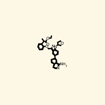 CCOC(=O)C(C)c1ccccc1OCc1nn(C2CCOC2)c2ccc(-c3ccc4ccnc(N)c4c3)cc12